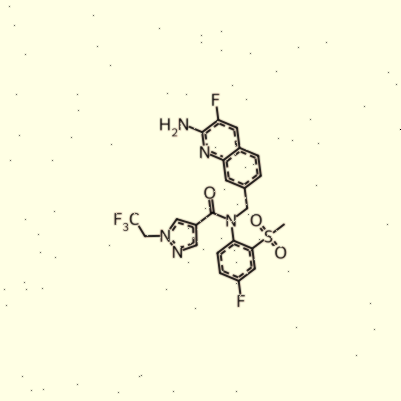 CS(=O)(=O)c1cc(F)ccc1N(Cc1ccc2cc(F)c(N)nc2c1)C(=O)c1cnn(CC(F)(F)F)c1